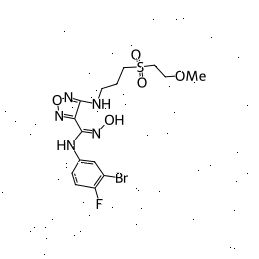 COCCS(=O)(=O)CCCNc1nonc1C(=NO)Nc1ccc(F)c(Br)c1